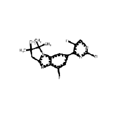 CC1(C)Cc2nc3c(F)cc(-c4nc(Cl)ncc4F)cc3n2C1(C)C